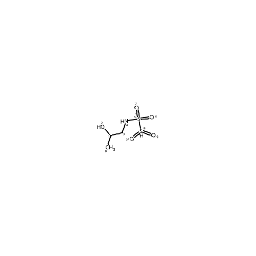 CC(O)CNS(=O)(=O)[SH](=O)=O